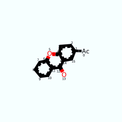 CC(=O)c1ccc2oc3ccccc3c(=O)c2c1